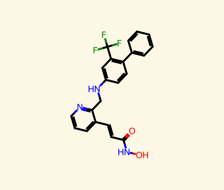 O=C(/C=C/c1cccnc1CNc1ccc(-c2ccccc2)c(C(F)(F)F)c1)NO